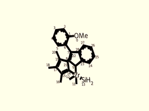 COc1ccccc1C1=C[CH]([Zr]([CH3])([CH3])(=[SiH2])[C]2=C(C)C(C)=C(C)C2C)c2ccccc21